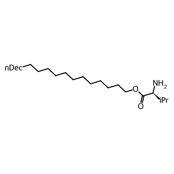 CCCCCCCCCCCCCCCCCCCCCCOC(=O)[C@@H](N)C(C)C